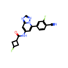 N#Cc1ccc(-c2cc(NC(=O)C3CC(F)C3)cc3ncnn23)cc1F